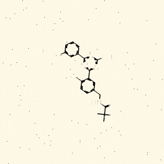 CC(C)(C(=O)NCc1ccc(Cl)c(-c2nc(O)nc(-c3cccc(OC(F)(F)F)c3)n2)c1)C(F)(F)F